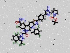 CC(C)(C)OC(=O)N1CCC[C@H]1c1nc(-c2ccc(-c3nc4nc([C@H](Cc5cc(F)cc(F)c5)NC(=O)Cn5nc(C(F)F)c6c5C(F)(F)CCC6(F)F)c(-c5ccc(F)c(C(N)=O)c5)cc4s3)cc2)c[nH]1